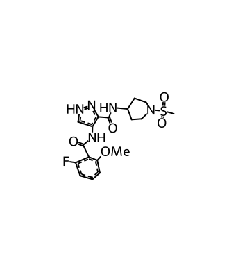 COc1cccc(F)c1C(=O)Nc1c[nH]nc1C(=O)NC1CCN(S(C)(=O)=O)CC1